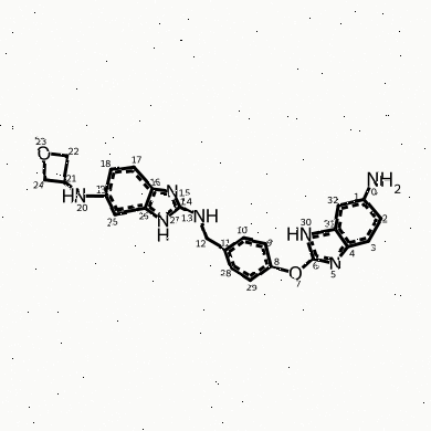 Nc1ccc2nc(Oc3ccc(CNc4nc5ccc(NC6COC6)cc5[nH]4)cc3)[nH]c2c1